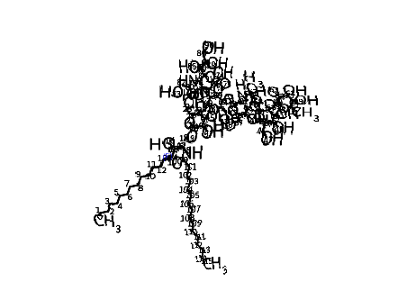 CCCCCCCCCCCCC/C=C/[C@@H](O)[C@H](CO[C@@H]1OC(CO)[C@@H](O[C@@H]2OC(CO)[C@H](O[C@@H]3OC(CO)[C@H](O)[C@H](O[C@@H]4OC(CO)[C@H](O)[C@H](O)C4O[C@H]4OC(C)[C@@H](O)C(O)[C@@H]4O)C3NC(C)=O)[C@H](O[C@]3(C(=O)O)CC(O)[C@@H](NC(=O)CO)C([C@H](O)[C@H](O)CO)O3)C2O)[C@H](O)C1O)NC(=O)CCCCCCCCCCCCCCC